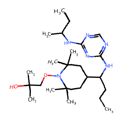 CCCC(Nc1n[c]nc(NC(C)CC)n1)C1CC(C)(C)N(OCC(C)(C)O)C(C)(C)C1